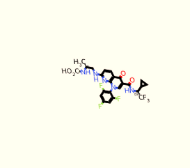 C[C@H](CNc1ccc2c(=O)c(C(=O)N[C@@H](C3CC3)C(F)(F)F)cn(-c3c(F)cc(F)cc3F)c2n1)NC(=O)O